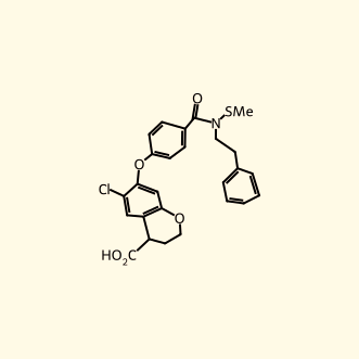 CSN(CCc1ccccc1)C(=O)c1ccc(Oc2cc3c(cc2Cl)C(C(=O)O)CCO3)cc1